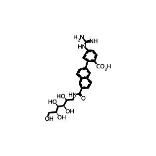 N=C(N)Nc1ccc(C(=O)O)c(-c2ccc3cc(C(=O)NC[C@H](O)[C@@H](O)[C@H](O)[C@H](O)CO)ccc3c2)c1